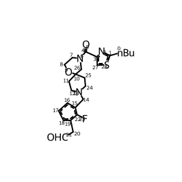 CCCCc1nc(C(=O)N2CCOC3(CCN(Cc4cccc(CC=O)c4F)CC3)C2)cs1